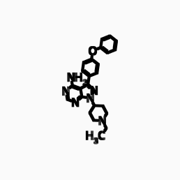 CCN1CCC(n2nc(-c3ccc(Oc4ccccc4)cc3)c3c(N)ncnc32)CC1